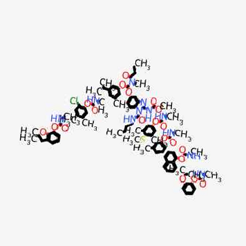 CCCC(=O)N(C)C(=O)Oc1cc(C)cc(C(C)C)c1.CCCCNC(=O)n1c(NC(=O)OC)nc2ccccc21.CNC(=O)Oc1cc(C)c(C)cc1Cl.CNC(=O)Oc1cc(C)c(SC)c(C)c1.CNC(=O)Oc1cccc(C)c1.CNC(=O)Oc1cccc2c1OC(C)(C)C2.CNC(=O)Oc1cccc2ccccc12.CNC(=O)Oc1ccccc1OC(C)C